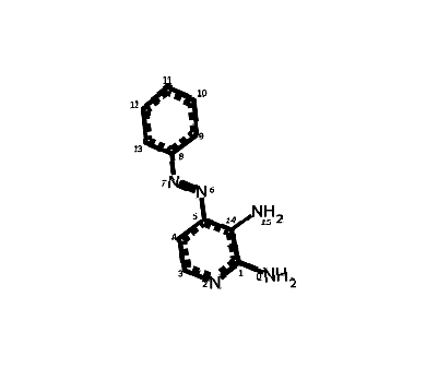 Nc1nccc(/N=N/c2ccccc2)c1N